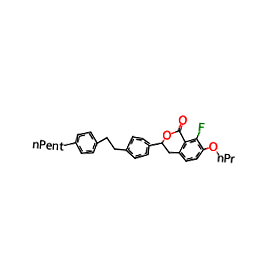 CCCCCc1ccc(CCc2ccc(C3Cc4ccc(OCCC)c(F)c4C(=O)O3)cc2)cc1